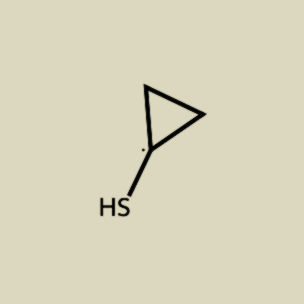 S[C]1CC1